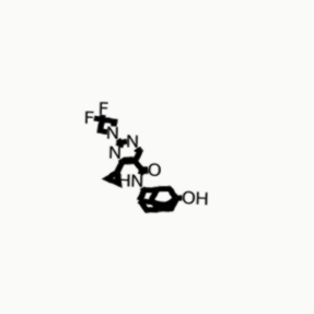 O=C(NC1C2CC3CC1CC(O)(C3)C2)c1cnc(N2CC(F)(F)C2)nc1C1CC1